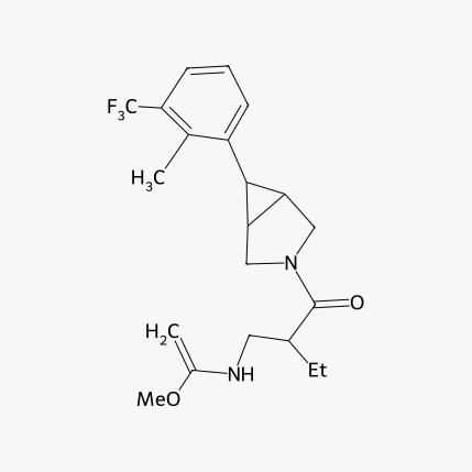 C=C(NCC(CC)C(=O)N1CC2C(C1)C2c1cccc(C(F)(F)F)c1C)OC